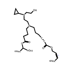 CCCCCC/C=C\COC(=O)CCCCCN(CCCC(=O)OC(CCCCCC)CCCCCCCC)CCN(CCO)C1CC1